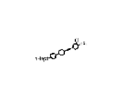 CCCCCCCc1ccc(C2CCC(C#Cc3ccc(CCC)c(Cl)c3)CC2)cc1